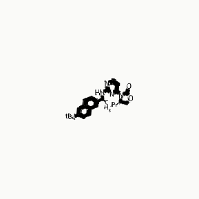 CC(C)[C@H]1COC(=O)N1c1ccnc(N[C@@H](C)c2ccc3cc(C(C)(C)C)ccc3c2)n1